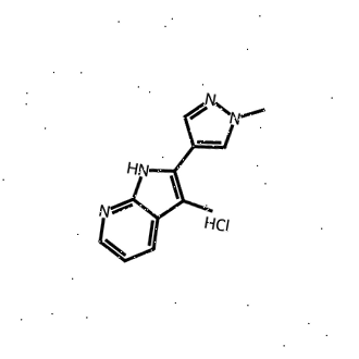 Cc1c(-c2cnn(C)c2)[nH]c2ncccc12.Cl